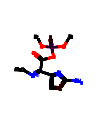 CCOP(=S)(OCC)OC(=O)/C(=N\OC)c1csc(N)n1